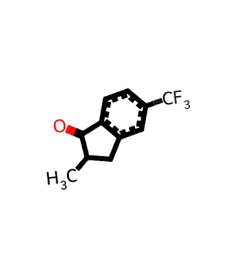 CC1Cc2cc(C(F)(F)F)ccc2C1=O